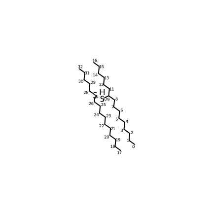 CCCCCCCCCC(S)CCCCCC.CCCCCCCCCCSCCCCC